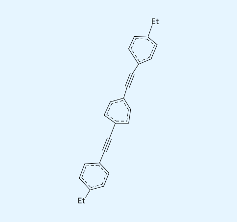 CCc1ccc(C#Cc2ccc(C#Cc3ccc(CC)cc3)cc2)cc1